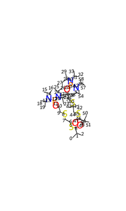 CC(C)C(=O)SCCSCCOP(N(C(C)C)C(C)C)N(C(C)C)C(C)CCC(C)N(C(C)C)P(OC(C)(C)CSC(C)(C)CSC(=O)C(C)(C)C)N(C(C)C)C(C)C